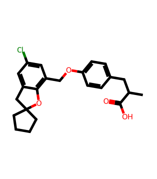 CC(Cc1ccc(OCc2cc(Cl)cc3c2OC2(CCCC2)C3)cc1)C(=O)O